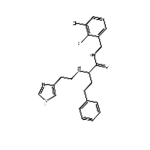 O=C(NCc1cccc(Cl)c1Cl)C(CCc1ccccc1)NCCc1c[nH]cn1